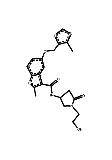 Cc1ncsc1COc1ccc2oc(C)c(C(=O)NC3CC(=O)N(CCO)C3)c2c1